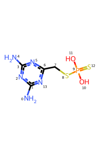 Nc1nc(N)nc(CSP(O)(O)=S)n1